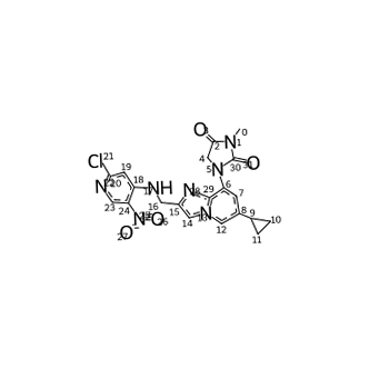 CN1C(=O)CN(c2cc(C3CC3)cn3cc(CNc4cc(Cl)ncc4[N+](=O)[O-])nc23)C1=O